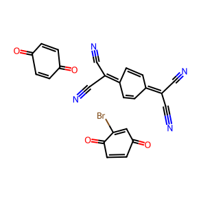 N#CC(C#N)=c1ccc(=C(C#N)C#N)cc1.O=C1C=CC(=O)C(Br)=C1.O=C1C=CC(=O)C=C1